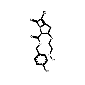 CCOCCSC1CC2=C(CC)C(=O)N2C1C(=O)OCc1ccc([N+](=O)[O-])cc1